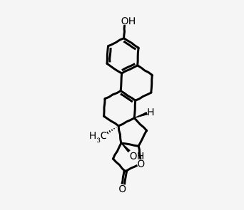 C[C@]12CCC3=C(CCc4cc(O)ccc43)[C@@H]1CC1OC(=O)C[C@@]12O